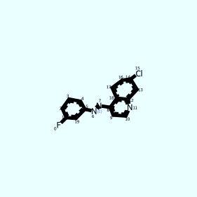 Fc1cccc(/N=N/c2ccnc3cc(Cl)ccc23)c1